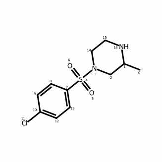 CC1CN(S(=O)(=O)c2ccc(Cl)cc2)CCN1